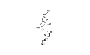 N=CN[C@H]1CC(O)[C@@H](COP(=O)(O)OC2C[C@H](NC=N)O[C@@H]2CO)O1